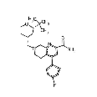 CC(C)(C)[C@@H]1C[C@H](CN2CCc3c(-c4ccc(F)cc4)cc(C(N)=O)nc3C2)CCO1